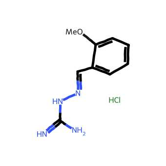 COc1ccccc1C=NNC(=N)N.Cl